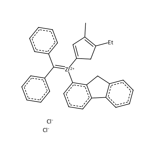 CCC1=C(C)C=[C]([Zr+2](=[C](c2ccccc2)c2ccccc2)[c]2cccc3c2Cc2ccccc2-3)C1.[Cl-].[Cl-]